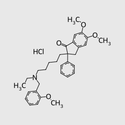 CCN(CCCCCC1(c2ccccc2)Cc2cc(OC)c(OC)cc2C1=O)Cc1ccccc1OC.Cl